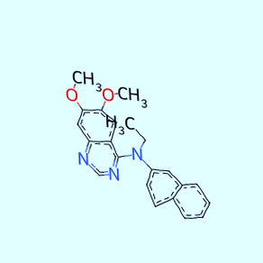 CCN(c1ccc2ccccc2c1)c1ncnc2cc(OC)c(OC)cc12